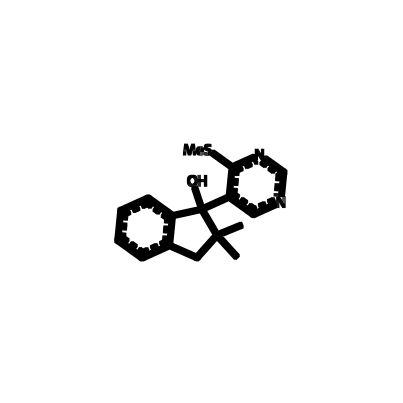 CSc1ncncc1C1(O)c2ccccc2CC1(C)C